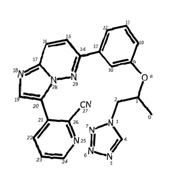 CC(Cn1cnnn1)Oc1cccc(-c2ccc3ncc(-c4cccnc4C#N)n3n2)c1